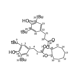 CC(C)(C)c1cc(CCC(=O)OC2CCCCCCC2OC(=O)CCc2cc(C(C)(C)C)c(O)c(C(C)(C)C)c2)cc(C(C)(C)C)c1O